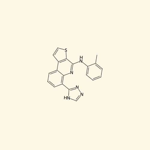 Cc1ccccc1Nc1nc2c(-c3nnc[nH]3)cccc2c2ccsc12